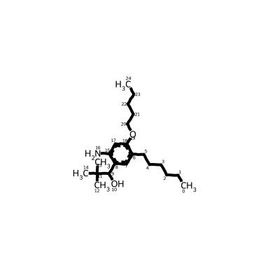 CCCCCCc1cc(C(O)C(C)(C)C)c(N)cc1OCCCCC